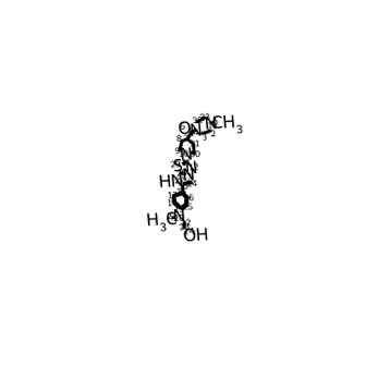 CN1CCN(C(=O)C2CCN(C3=NN4C=C(c5ccc(N(C)CCO)cc5)NC4S3)CC2)CC1